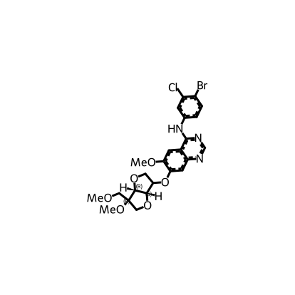 COC[C@@]1(OC)CO[C@H]2C(Oc3cc4ncnc(Nc5ccc(Br)c(Cl)c5)c4cc3OC)CO[C@H]21